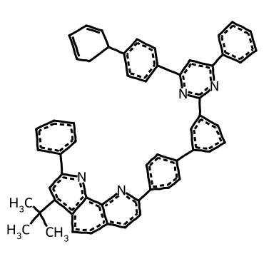 CC(C)(C)c1cc(-c2ccccc2)nc2c1ccc1ccc(-c3ccc(-c4cccc(-c5nc(-c6ccccc6)cc(-c6ccc(C7C=CC=CC7)cc6)n5)c4)cc3)nc12